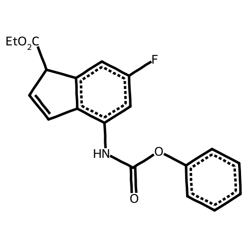 CCOC(=O)C1C=Cc2c(NC(=O)Oc3ccccc3)cc(F)cc21